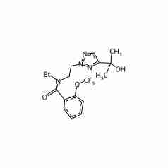 CCN(CCn1ncc(C(C)(C)O)n1)C(=O)c1ccccc1OC(F)(F)F